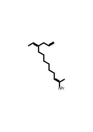 C=CC/C(=C/C)CCCCCC/C=C(\C)CCC